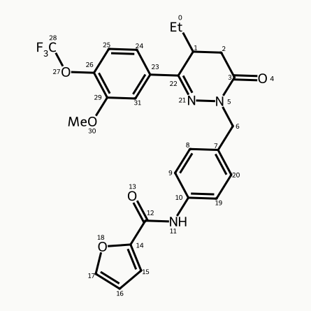 CCC1CC(=O)N(Cc2ccc(NC(=O)c3ccco3)cc2)N=C1c1ccc(OC(F)(F)F)c(OC)c1